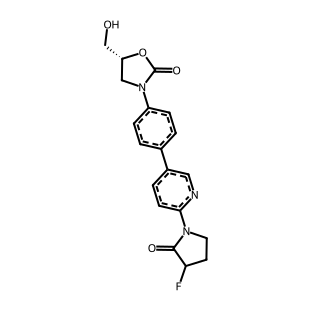 O=C1O[C@@H](CO)CN1c1ccc(-c2ccc(N3CCC(F)C3=O)nc2)cc1